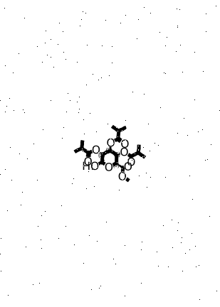 COC(=O)[C@H]1OC(O)[C@H](OC(=O)C(C)C)[C@@H](OC(=O)C(C)C)[C@@H]1OC(=O)C(C)C